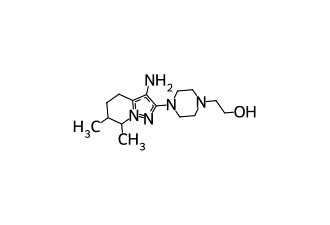 CC1CCc2c(N)c(N3CCN(CCO)CC3)nn2C1C